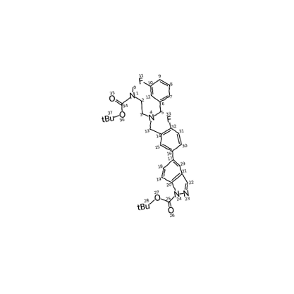 CN(CCN(Cc1cccc(F)c1)Cc1cc(-c2ccc3c(cnn3C(=O)OC(C)(C)C)c2)ccc1F)C(=O)OC(C)(C)C